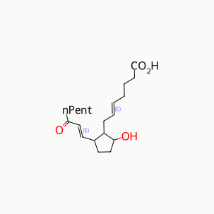 CCCCCC(=O)/C=C/C1CCC(O)C1C/C=C/CCCC(=O)O